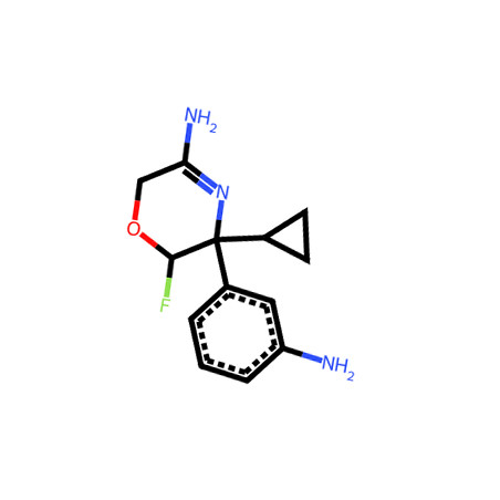 NC1=NC(c2cccc(N)c2)(C2CC2)C(F)OC1